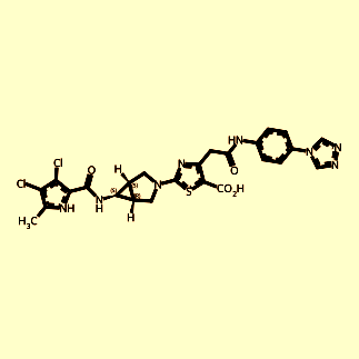 Cc1[nH]c(C(=O)N[C@H]2[C@@H]3CN(c4nc(CC(=O)Nc5ccc(-n6cnnc6)cc5)c(C(=O)O)s4)C[C@@H]32)c(Cl)c1Cl